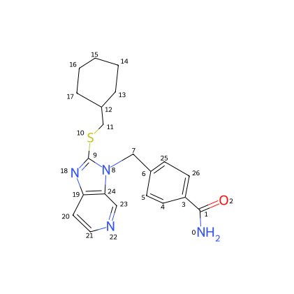 NC(=O)c1ccc(Cn2c(SCC3CCCCC3)nc3ccncc32)cc1